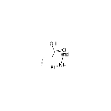 CCCC(=O)O.CCNCC.Cl